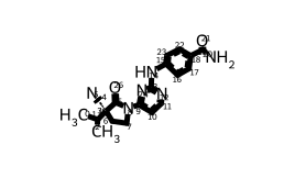 CC(C)[C@]1(C#N)CCN(c2ccnc(Nc3ccc(C(N)=O)cc3)n2)C1=O